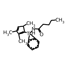 CCCCC(=O)[NH][Ti]1([C]2=C(C)C(C)=CC2C)[c]2cccc[c]21